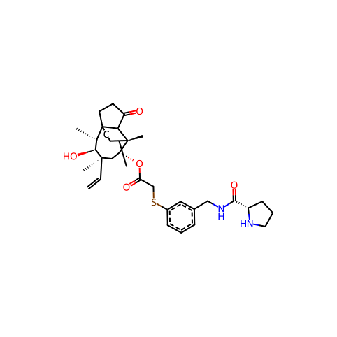 C=C[C@]1(C)C[C@@H](OC(=O)CSc2cccc(CNC(=O)[C@@H]3CCCN3)c2)[C@]2(C)C(C)CCC3(CCC(=O)C32)[C@@H](C)[C@@H]1O